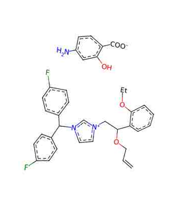 C=CCOC(C[n+]1ccn(C(c2ccc(F)cc2)c2ccc(F)cc2)c1)c1ccccc1OCC.Nc1ccc(C(=O)[O-])c(O)c1